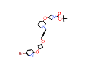 CC(C)(C)OC(=O)N1CC(OC2CCCN(CC#CCO[C@H]3C[C@H](Oc4ccc(Br)cn4)C3)C2)C1